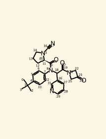 CC(C)(C)c1ccc(N(C(=O)[C@H]2CCCN2C#N)C(C(=O)N2CC(=O)C2)c2cccnc2)cc1